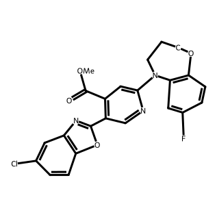 COC(=O)c1cc(N2CCCOc3ccc(F)cc32)ncc1-c1nc2cc(Cl)ccc2o1